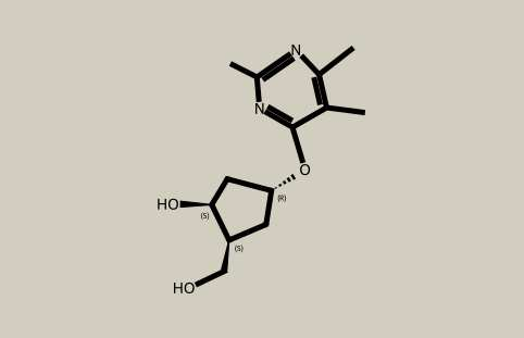 Cc1nc(C)c(C)c(O[C@@H]2C[C@@H](CO)[C@@H](O)C2)n1